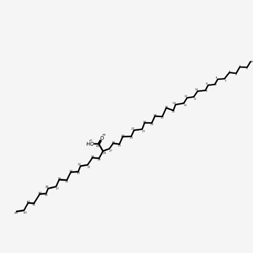 CCCCCCCCCCCCCCCCCCCCCCCCCCCCC(CCCCCCCCCCCCCCCC)C(=O)O